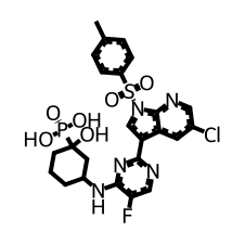 Cc1ccc(S(=O)(=O)n2cc(-c3ncc(F)c(NC4CCCC(O)(P(=O)(O)O)C4)n3)c3cc(Cl)cnc32)cc1